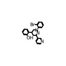 Oc1ccccc1C1CC(c2cccnc2)=NN(c2ccccc2Br)C1